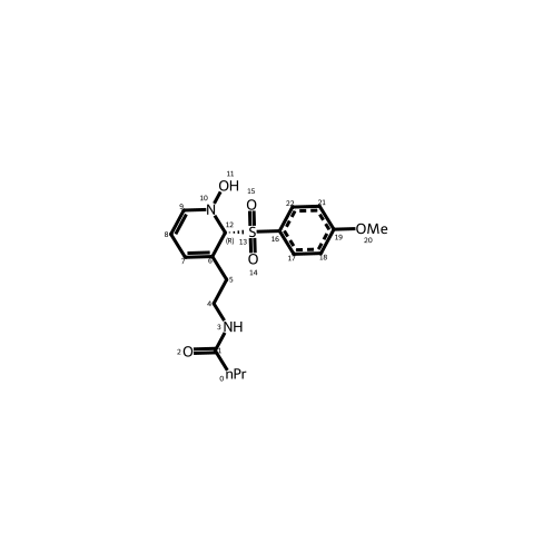 CCCC(=O)NCCC1=CC=CN(O)[C@@H]1S(=O)(=O)c1ccc(OC)cc1